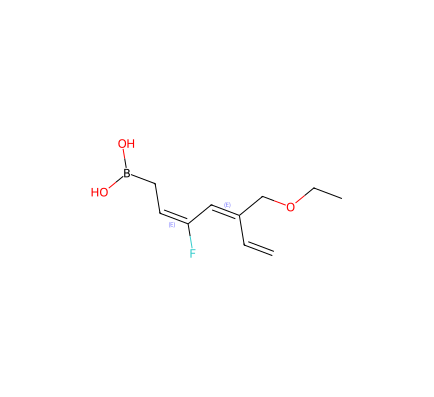 C=C/C(=C\C(F)=C/CB(O)O)COCC